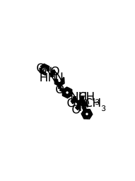 Cc1c(C(=O)Nc2ccc(Oc3ccnc(NC(=O)N4CCOCC4)c3)cc2)c(=O)n(-c2ccccc2)n1C